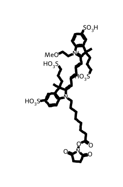 COCC[N+]1=C(/C=C/C=C/C=C2/N(CCCCCCCC(=O)ON3C(=O)CCC3=O)c3ccc(S(=O)(=O)O)cc3C2(C)CCCS(=O)(=O)O)C(C)(CCCS(=O)(=O)O)c2cc(S(=O)(=O)O)ccc21